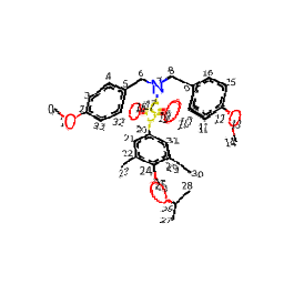 COc1ccc(CN(Cc2ccc(OC)cc2)S(=O)(=O)c2cc(C)c(OC(C)C)c(C)c2)cc1